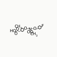 CCOC(Cc1ccc(OCCN(CCOCc2ccc(F)cc2)C(=O)OC)cc1)C(=O)O